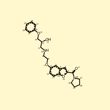 O=C(c1cc2cc(OCCNC[C@H](O)COc3ccccc3)ccc2o1)N1CCCC1